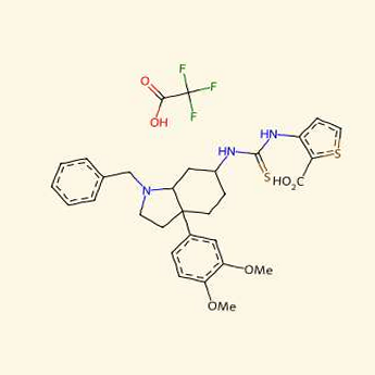 COc1ccc(C23CCC(NC(=S)Nc4ccsc4C(=O)O)CC2N(Cc2ccccc2)CC3)cc1OC.O=C(O)C(F)(F)F